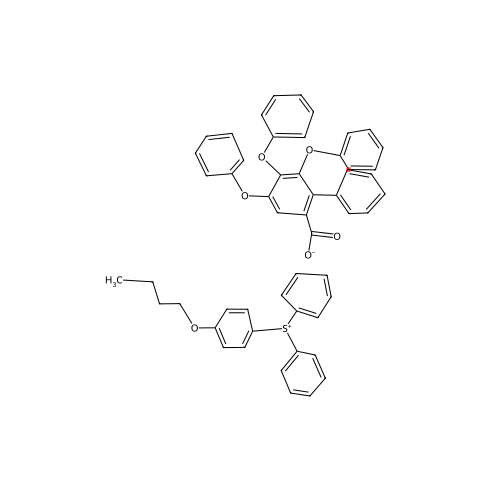 CCCCOc1ccc([S+](c2ccccc2)c2ccccc2)cc1.O=C([O-])c1cc(Oc2ccccc2)c(Oc2ccccc2)c(Oc2ccccc2)c1-c1ccccc1